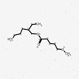 CCCCC(CC)COC(=O)CCCCOC